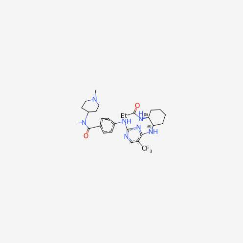 CCC(=O)N[C@H]1CCCC[C@H]1Nc1nc(Nc2ccc(C(=O)N(C)C3CCN(C)CC3)cc2)ncc1C(F)(F)F